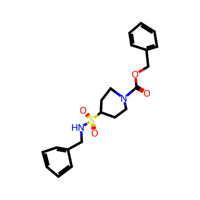 O=C(OCc1ccccc1)N1CCC(S(=O)(=O)NCc2ccccc2)CC1